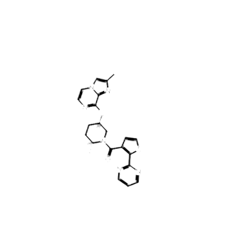 Cc1cn2ccnc(O[C@@H]3CC[C@@H](C)N(C(=O)c4ccsc4-c4ncccn4)C3)c2n1